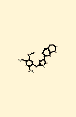 Cc1cc([N+](=O)[O-])c(OC(C)C)cc1Cc1nc(-c2ccc3c(c2)CCCC3)cs1